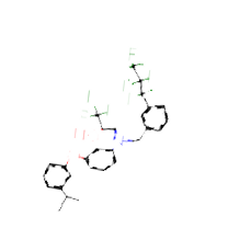 CC(C)c1cccc(Oc2cccc(N(Cc3cccc(C(F)(F)C(F)(F)C(F)(F)F)c3)CC(O)C(F)(F)F)c2)c1